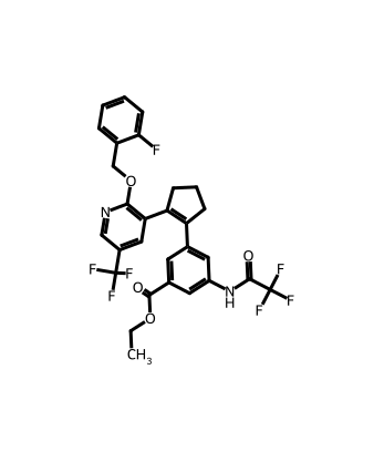 CCOC(=O)c1cc(NC(=O)C(F)(F)F)cc(C2=C(c3cc(C(F)(F)F)cnc3OCc3ccccc3F)CCC2)c1